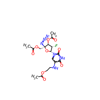 CC(=O)OCCNc1cn([C@@H]2O[C@@](COC(C)=O)(N=[N+]=[N-])[C@@H](OC(C)=O)[C@@H]2F)c(=O)[nH]c1=O